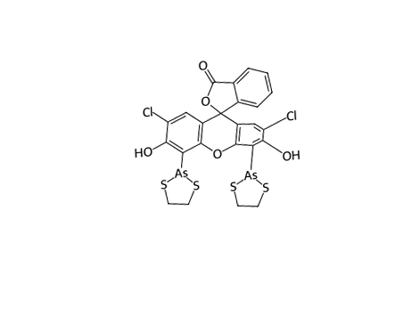 O=C1OC2(c3ccccc31)c1cc(Cl)c(O)c([As]3SCCS3)c1Oc1c2cc(Cl)c(O)c1[As]1SCCS1